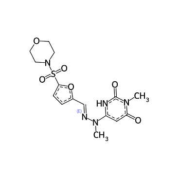 CN(/N=C/c1ccc(S(=O)(=O)N2CCOCC2)o1)c1cc(=O)n(C)c(=O)[nH]1